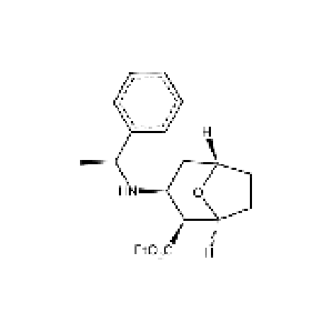 CCOC(=O)[C@H]1[C@@H](N[C@@H](C)c2ccccc2)C[C@@H]2CC[C@@H]1O2